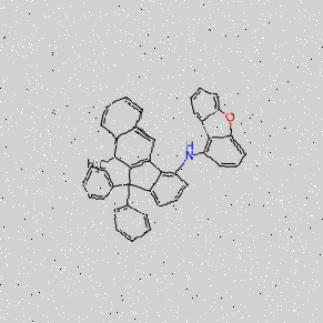 CC1C2=C(C=C3C=CC=CC31)c1c(Nc3cccc4oc5ccccc5c34)cccc1C2(c1ccccc1)c1ccccc1